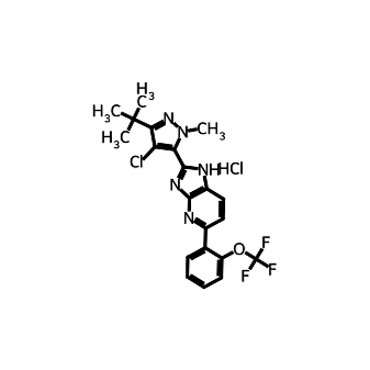 Cl.Cn1nc(C(C)(C)C)c(Cl)c1-c1nc2nc(-c3ccccc3OC(F)(F)F)ccc2[nH]1